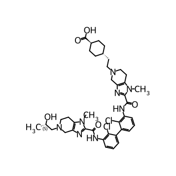 C[C@H](O)CN1CCc2c(nc(C(=O)Nc3cccc(-c4cccc(NC(=O)c5nc6c(n5C)CCN(CC[C@H]5CC[C@H](C(=O)O)CC5)C6)c4Cl)c3Cl)n2C)C1